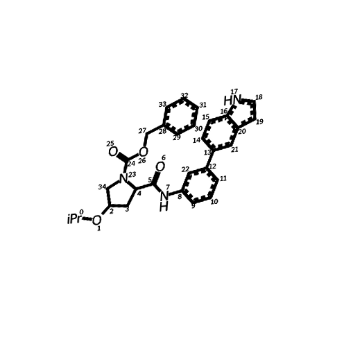 CC(C)OC1CC(C(=O)Nc2cccc(-c3ccc4[nH]ccc4c3)c2)N(C(=O)OCc2ccccc2)C1